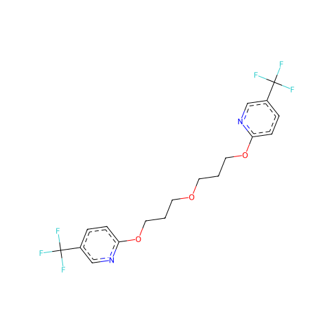 FC(F)(F)c1ccc(OCCCOCCCOc2ccc(C(F)(F)F)cn2)nc1